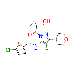 O=C(n1nc(C2CCOCC2)c(F)c1NCc1ccc(Cl)s1)C1(CO)CC1